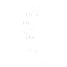 CC(C)CC(NC(=O)c1cc2ccccc2[nH]1)C(=O)NNCC1CCN(C(=O)OC(C)(C)C)C1=O